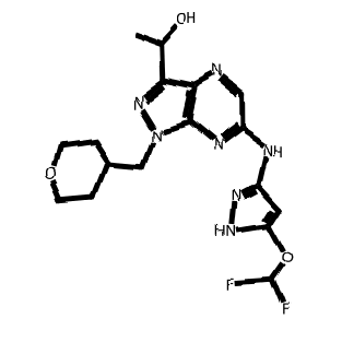 CC(O)c1nn(CC2CCOCC2)c2nc(Nc3cc(OC(F)F)[nH]n3)cnc12